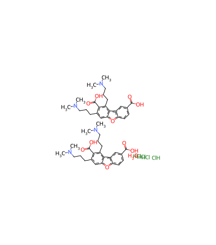 CN(C)CCCc1cc2oc3ccc(C(=O)O)cc3c2c(CCCN(C)C)c1C(=O)O.CN(C)CCCc1cc2oc3ccc(C(=O)O)cc3c2c(CCCN(C)C)c1C(=O)O.Cl.Cl.Cl.Cl.O